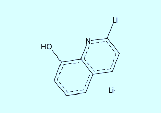 [Li].[Li][c]1ccc2cccc(O)c2n1